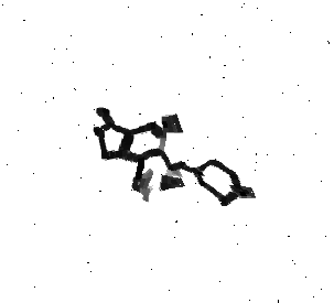 Cc1c([C@@H](O)CN2CCNCC2)ccc2c1COC2=O.Cl